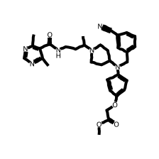 COC(=O)COc1ccc(N(Cc2cccc(C#N)c2)C2CCN(C(C)CCNC(=O)c3c(C)ncnc3C)CC2)cc1